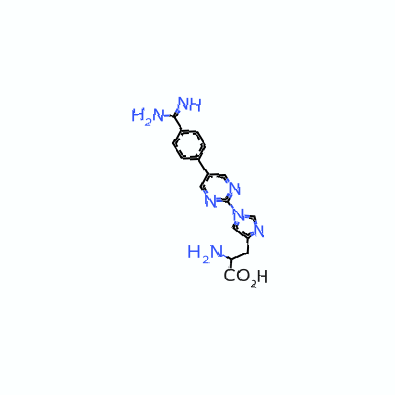 N=C(N)c1ccc(-c2cnc(-n3cnc(CC(N)C(=O)O)c3)nc2)cc1